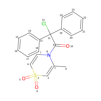 CC1=CS(=O)(=O)C=CN1C(=O)C(Cl)(c1ccccc1)c1ccccc1